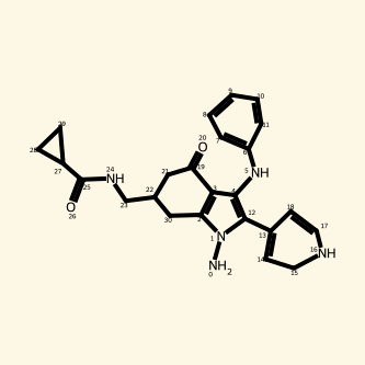 Nn1c2c(c(Nc3ccccc3)c1C1=CCNC=C1)C(=O)CC(CNC(=O)C1CC1)C2